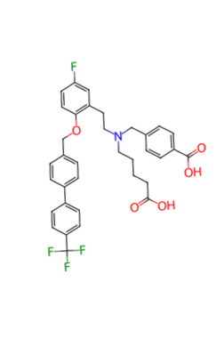 O=C(O)CCCCN(CCc1cc(F)ccc1OCc1ccc(-c2ccc(C(F)(F)F)cc2)cc1)Cc1ccc(C(=O)O)cc1